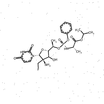 CC(C)OC(=O)[C@H](C)N[P@](=O)(Oc1ccccc1)O[C@H](C)[C@H]1O[C@@H](n2ccc(=O)[nH]c2=O)[C@@](N)(CF)C1O